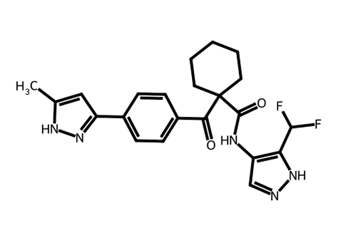 Cc1cc(-c2ccc(C(=O)C3(C(=O)Nc4cn[nH]c4C(F)F)CCCCC3)cc2)n[nH]1